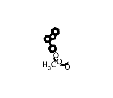 CC(COc1ccc(-c2cccc3c2Cc2ccccc2-3)cc1)OCC1CO1